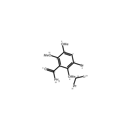 COc1cc(Br)c(OC)c(C(=O)P)c1OC.[Li][CH2]C(C)C